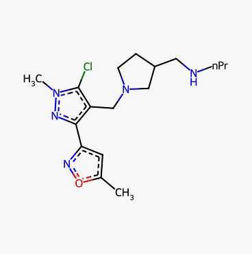 CCCNCC1CCN(Cc2c(-c3cc(C)on3)nn(C)c2Cl)C1